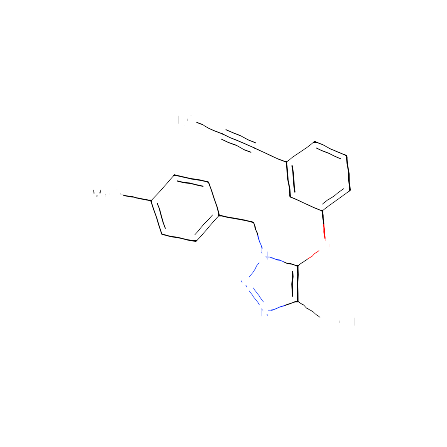 CC#Cc1cccc(Oc2c(C(=O)O)nnn2Cc2ccc(OC)cc2)c1